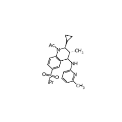 CC(=O)N1c2ccc(S(=O)(=O)C(C)C)cc2C(Nc2cccc(C)n2)[C@@H](C)[C@@H]1C1CC1